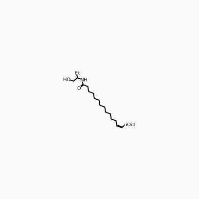 CCCCCCCC/C=C\CCCCCCCCCCCC(=O)NC([CH]O)CC